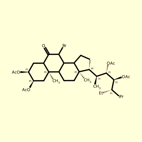 CC[C@@H](C(C)C)[C@H](OC(C)=O)[C@@H](OC(C)=O)[C@@H](C)[C@H]1CCC2C3C(Br)C(=O)C4C[C@H](OC(C)=O)[C@H](OC(C)=O)C[C@]4(C)C3CC[C@@]21C